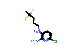 CC(F)(F)CCCNc1ccc(Cl)nc1N